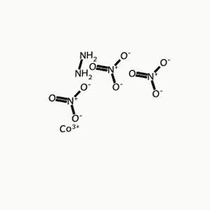 NN.O=[N+]([O-])[O-].O=[N+]([O-])[O-].O=[N+]([O-])[O-].[Co+3]